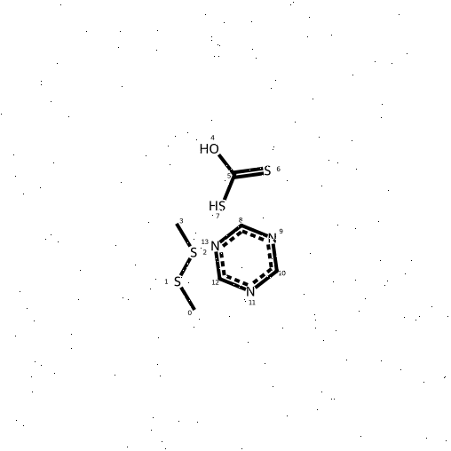 CSSC.OC(=S)S.c1ncncn1